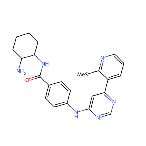 CSc1ncccc1-c1cc(Nc2ccc(C(=O)NC3CCCCC3N)cc2)ncn1